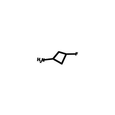 NC1CC(F)C1